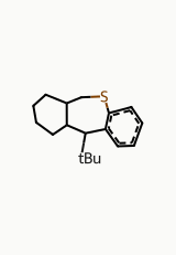 CC(C)(C)C1c2ccccc2SCC2CCCCC21